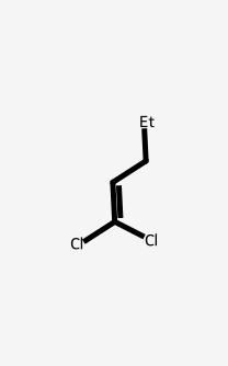 [CH2]CCC=C(Cl)Cl